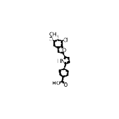 COc1cc(Cl)c2oc(-c3ccc(-c4ccc(C(=O)O)cc4)[nH]3)cc2c1